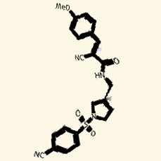 COc1ccc(/C=C(\C#N)C(=O)NC[C@H]2CCN(S(=O)(=O)c3ccc(C#N)cc3)C2)cc1